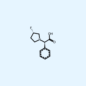 O=C(O)[C@@H](c1ccccc1)N1CC[C@H](F)C1